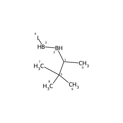 CC(BBI)C(C)(C)C